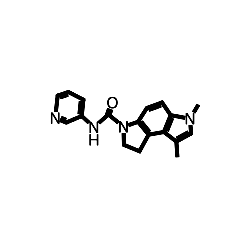 Cc1cn(C)c2ccc3c(c12)CCN3C(=O)Nc1cccnc1